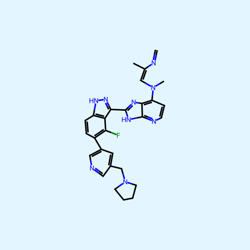 C=N/C(C)=C\N(C)c1ccnc2[nH]c(-c3n[nH]c4ccc(-c5cncc(CN6CCCC6)c5)c(F)c34)nc12